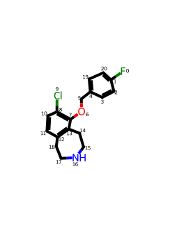 Fc1ccc(COc2c(Cl)ccc3c2CCNCC3)cc1